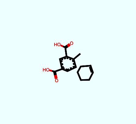 C1=CCCCC1.Cc1ccc(C(=O)O)cc1C(=O)O